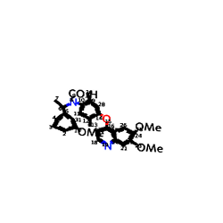 COc1cccc(C(C)N(C(=O)O)c2cc(C)c(Oc3ccnc4cc(OC)c(OC)cc34)cc2C)c1